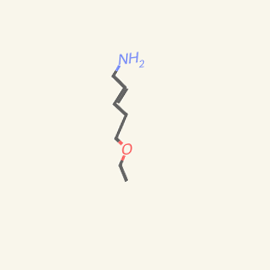 CCOCCC=CCN